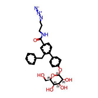 [N-]=[N+]=NCCCNC(=O)c1ccc(-c2ccc(O[C@@H]3O[C@H](CO)[C@H](O)[C@H](O)[C@H]3O)cc2)c(Cc2ccccc2)c1